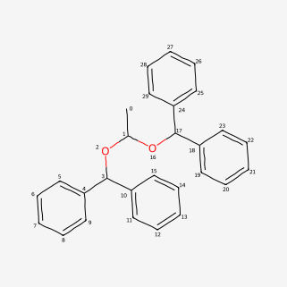 CC(OC(c1ccccc1)c1ccccc1)OC(c1ccccc1)c1ccccc1